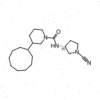 N#CN1CC[C@@H](NC(=O)N2CCCC(C3CCCCCCCC3)C2)C1